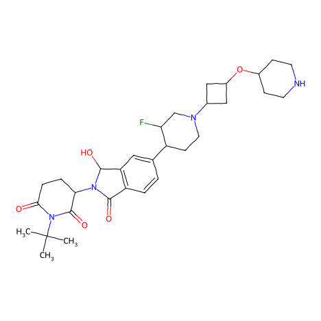 CC(C)(C)N1C(=O)CCC(N2C(=O)c3ccc(C4CCN(C5CC(OC6CCNCC6)C5)CC4F)cc3C2O)C1=O